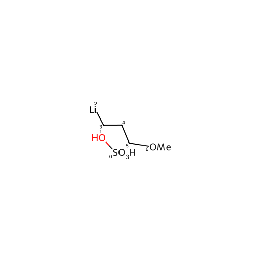 O=S(=O)(O)O.[Li][CH2]CCOC